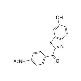 CC(=O)Nc1ccc(C(=O)c2nc3ccc(O)cc3s2)cc1